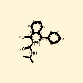 CC(C)NC(=O)n1nc(-c2ccccc2)c2ccccc2c1=O